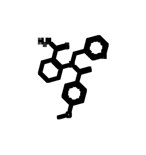 C=C(c1ccc(OC)cc1)N(Cc1cccnc1)C1=C(C(N)=S)CCCC1